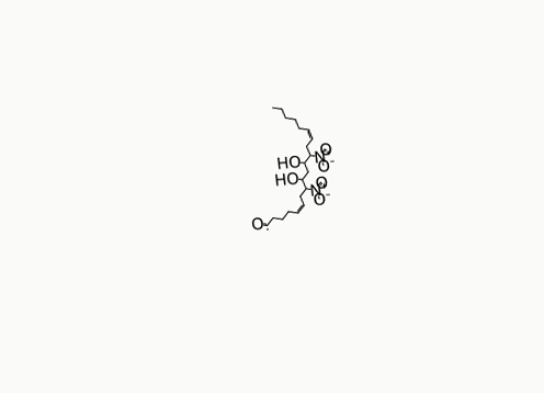 CCCCC/C=C\CC(C(O)CC(O)C(C/C=C\CCC[C]=O)[N+](=O)[O-])[N+](=O)[O-]